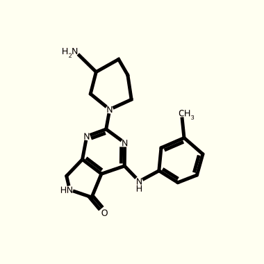 Cc1cccc(Nc2nc(N3CCCC(N)C3)nc3c2C(=O)NC3)c1